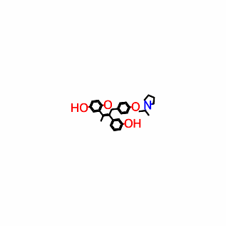 CC1=C(c2cccc(O)c2)C(c2ccc(OCC(C)N3CCCC3)cc2)Oc2ccc(O)cc21